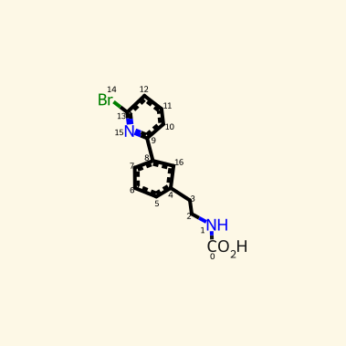 O=C(O)NCCc1cccc(-c2cccc(Br)n2)c1